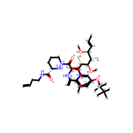 C=CCCNC(=O)[C@@H]1CCCN(C(=O)[C@H](Cc2cccc(O[Si](C)(C)C(C)(C)C)c2)NC(=C)[C@@H](NC(=O)[C@H](C)[C@H](OC)[C@@H](C)[C@H](/C=C/C)OC)C(C)C)N1